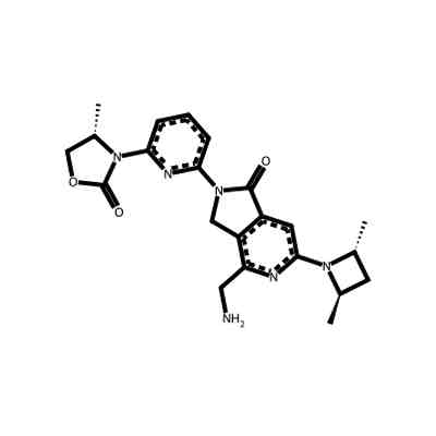 C[C@@H]1C[C@@H](C)N1c1cc2c(c(CN)n1)CN(c1cccc(N3C(=O)OC[C@@H]3C)n1)C2=O